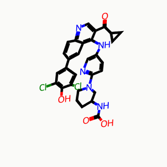 O=C(O)NC1CCCN(c2ccc(Nc3c(C(=O)C4CC4)cnc4ccc(-c5cc(Cl)c(O)c(Cl)c5)cc34)cn2)C1